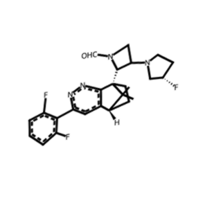 CC1(C)[C@@H]2CC[C@]1(C1C(N3CC[C@H](F)C3)CN1C=O)c1nnc(-c3c(F)cccc3F)cc12